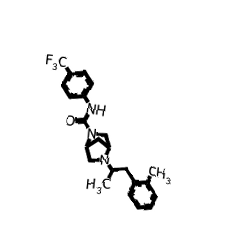 Cc1ccccc1CC(C)N1CC2CC1CN2C(=O)Nc1ccc(C(F)(F)F)cc1